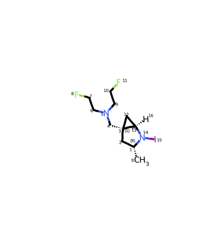 C[C@@H]1C[C@@]2(CN(CCF)CCF)C[C@H]2N1I